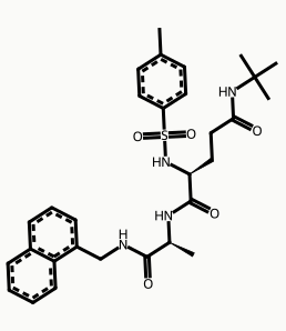 Cc1ccc(S(=O)(=O)N[C@@H](CCC(=O)NC(C)(C)C)C(=O)N[C@@H](C)C(=O)NCc2cccc3ccccc23)cc1